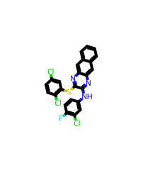 Fc1ccc(Nc2nc3cc4ccccc4cc3nc2Sc2cc(Cl)ccc2Cl)cc1Cl